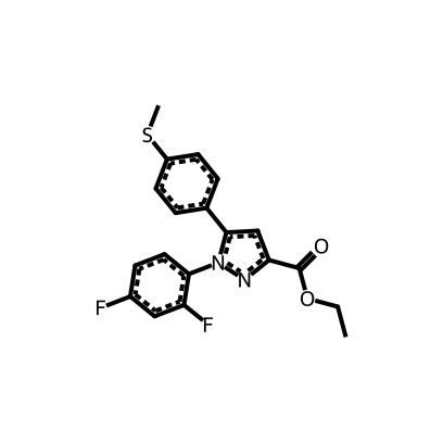 CCOC(=O)c1cc(-c2ccc(SC)cc2)n(-c2ccc(F)cc2F)n1